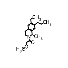 CCCc1cc2c(cc1CC)CCN(C(=O)COC)[C@@H]2C